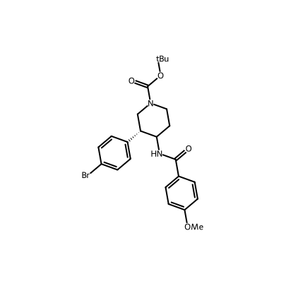 COc1ccc(C(=O)NC2CCN(C(=O)OC(C)(C)C)C[C@H]2c2ccc(Br)cc2)cc1